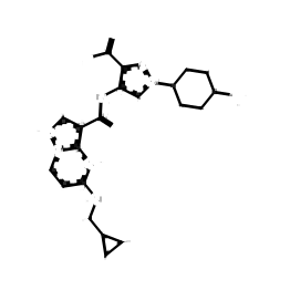 C=C(C)c1nn(C2CCC(C=O)CC2)cc1NC(=O)c1cnn2ccc(NCC3CC3)nc12